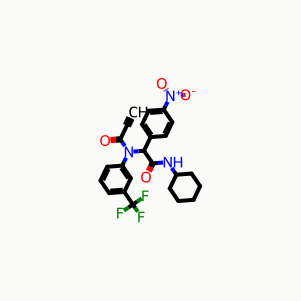 C#CC(=O)N(c1cccc(C(F)(F)F)c1)C(C(=O)NC1CCCCC1)c1ccc([N+](=O)[O-])cc1